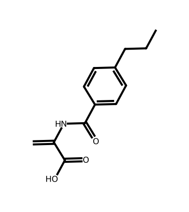 C=C(NC(=O)c1ccc(CCC)cc1)C(=O)O